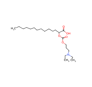 CCCCCCCCCCCCC(OC(=O)OCCCN(CC)CC)C(=O)O